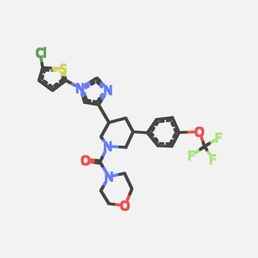 O=C(N1CCOCC1)N1CC(c2ccc(OC(F)(F)F)cc2)CC(c2cn(-c3ccc(Cl)s3)cn2)C1